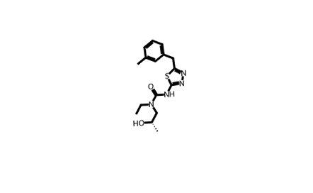 CCN(C[C@H](C)O)C(=O)Nc1nnc(Cc2cccc(C)c2)s1